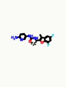 Cc1c([C@H](NC(=O)Nc2ccc(N)nc2)C(F)(F)F)oc2c(F)cc(F)cc12